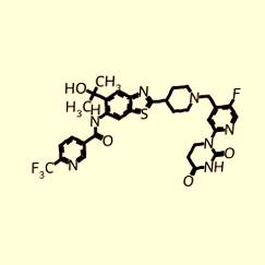 CC(C)(O)c1cc2nc(C3CCN(Cc4cc(N5CCC(=O)NC5=O)ncc4F)CC3)sc2cc1NC(=O)c1ccc(C(F)(F)F)nc1